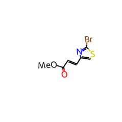 COC(=O)C=Cc1csc(Br)n1